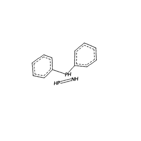 N=P.c1ccc(Pc2ccccc2)cc1